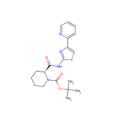 CC(C)(C)OC(=O)N1CCCC[C@H]1C(=O)Nc1nc(-c2ccccn2)cs1